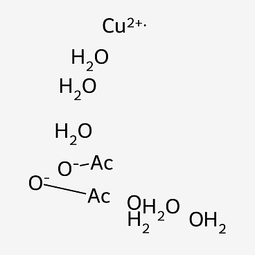 CC(=O)[O-].CC(=O)[O-].O.O.O.O.O.O.[Cu+2]